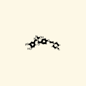 CC(C)c1cc(-c2nnc(O)n2C(=O)c2ccc(OCCN3CCN(C)CC3)cc2)ccc1O